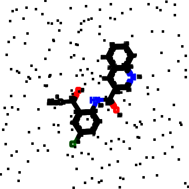 COC(=O)c1cc(Cl)ccc1NC(=O)c1cnc2ccccc2c1